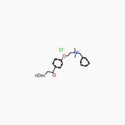 CCCCCCCCCCCC(=O)c1ccc(OCC[N+](C)(C)Cc2ccccc2)cc1.[Cl-]